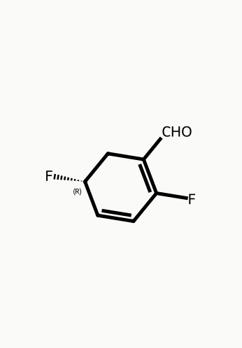 O=CC1=C(F)C=C[C@H](F)C1